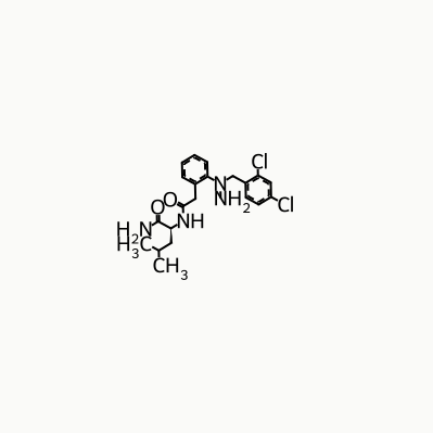 CC(C)C[C@H](NC(=O)Cc1ccccc1N(N)Cc1ccc(Cl)cc1Cl)C(N)=O